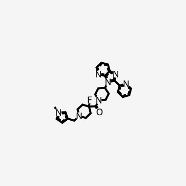 Cn1ccc(CN2CCC(F)(C(=O)N3CCC(n4c(-c5ccccn5)nc5cccnc54)CC3)CC2)c1